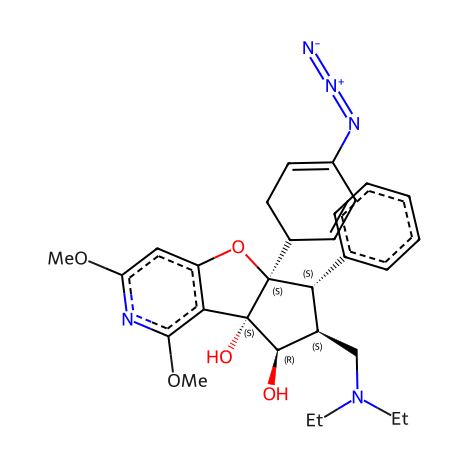 CCN(CC)C[C@H]1[C@@H](O)[C@@]2(O)c3c(cc(OC)nc3OC)O[C@@]2(C2C=CC(N=[N+]=[N-])=CC2)[C@@H]1c1ccccc1